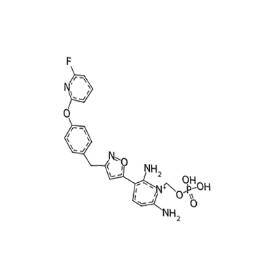 Nc1ccc(-c2cc(Cc3ccc(Oc4cccc(F)n4)cc3)no2)c(N)[n+]1COP(=O)(O)O